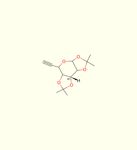 C#CC1OC2OC(C)(C)OC2[C@@H]2OC(C)(C)OC12